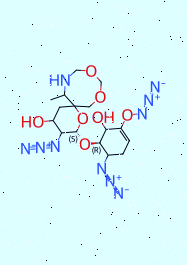 CC1NCOCOCC12CC(O)C(N=[N+]=[N-])[C@@H](O[C@@H]1C(N=[N+]=[N-])CC=C(ON=[N+]=[N-])C1O)O2